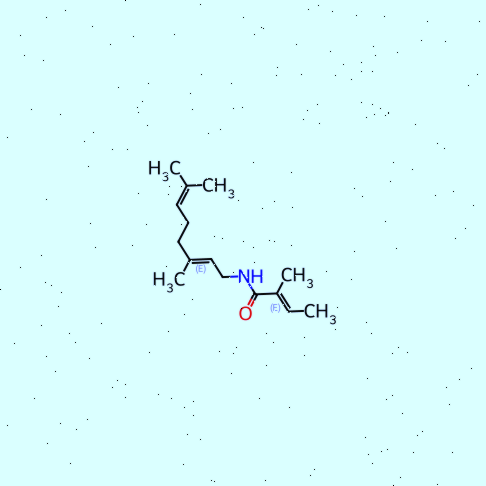 C/C=C(\C)C(=O)NC/C=C(\C)CCC=C(C)C